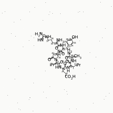 CC(C)C[C@@H](NC(=O)[C@@H](CCC(=O)O)NC(=O)[C@@H](C(C)C)N1C[C@@H](NC(=O)[C@@H](Cc2ccc(O)cc2)NC(=O)[C@H](N)CCCNC(=N)N)CC1=O)C(=O)N[C@H](C)C(N)=O